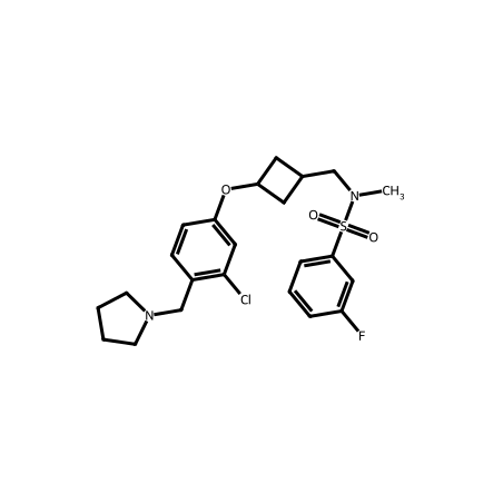 CN(CC1CC(Oc2ccc(CN3CCCC3)c(Cl)c2)C1)S(=O)(=O)c1cccc(F)c1